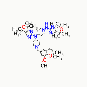 CCOc1cc(CN2CCC(N(c3ncc4c(n3)C(C)(C)OC4(C)C)C3CCN(Nc4ncc5c(n4)C(C)(C)OC5(C)C)CC3)CC2)cc2c1OC(C)(C)C=C2